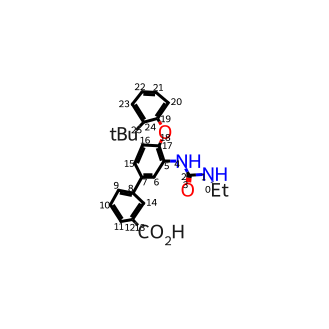 CCNC(=O)Nc1cc(-c2cccc(C(=O)O)c2)ccc1Oc1ccccc1C(C)(C)C